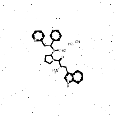 Cl.Cl.N[C@@H](Cc1c[nH]c2ccccc12)C(=O)N1CCC[C@H]1N(C=O)[C@@H](Cc1ccccn1)c1ccccc1